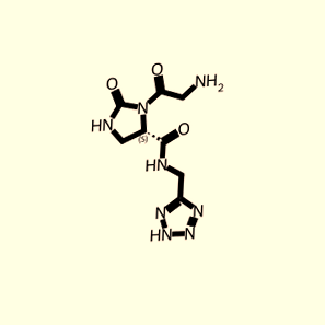 NCC(=O)N1C(=O)NC[C@H]1C(=O)NCc1nn[nH]n1